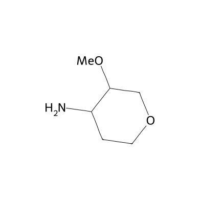 COC1COCCC1N